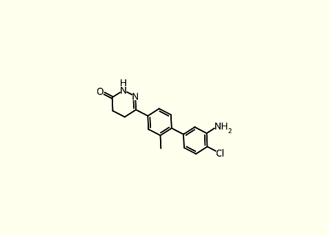 Cc1cc(C2=NNC(=O)CC2)ccc1-c1ccc(Cl)c(N)c1